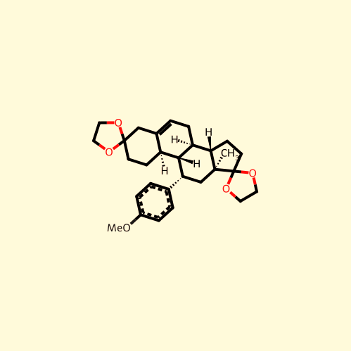 COc1ccc([C@H]2C[C@@]3(C)[C@@H](CCC34OCCO4)[C@@H]3CC=C4CC5(CC[C@@H]4[C@H]32)OCCO5)cc1